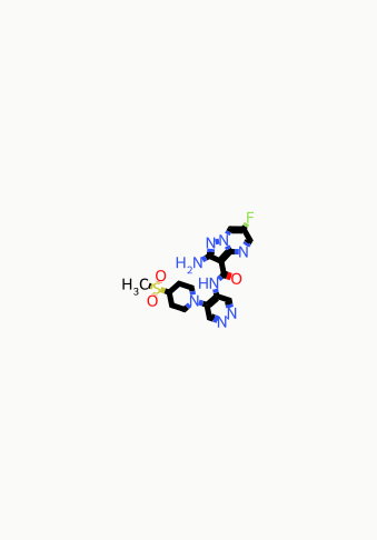 CS(=O)(=O)C1CCN(c2cnncc2NC(=O)c2c(N)nn3cc(F)cnc23)CC1